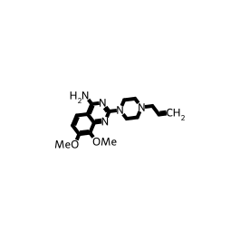 C=CCN1CCN(c2nc(N)c3ccc(OC)c(OC)c3n2)CC1